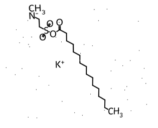 CCCCCCCCCCCCCCCC(=O)OS(=O)(=O)CC[N-]C.[K+]